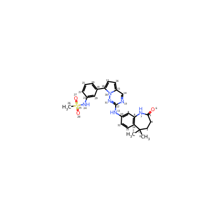 CC1(C)CCC(=O)Nc2cc(Nc3ncc4ccc(-c5cccc(NS(C)(=O)=O)c5)n4n3)ccc21